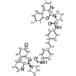 Cc1ccc(-c2cccnc2C(=O)N2CCC[C@H]2C(=O)Nc2ccc(/C=C/c3ccc(NC(=O)[C@@H]4CCCN4C(=O)c4ncccc4-c4ccc(Cl)cc4)cc3)cc2)cc1